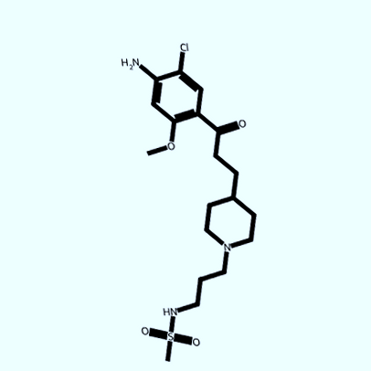 COc1cc(N)c(Cl)cc1C(=O)CCC1CCN(CCCNS(C)(=O)=O)CC1